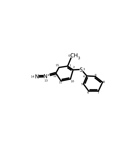 CC1=C(Sc2ccccc2)C=CC(=[N+]=[N-])C1